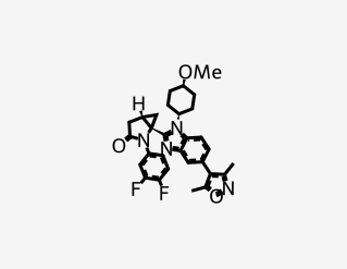 CO[C@H]1CC[C@H](n2c([C@]34C[C@H]3CC(=O)N4c3ccc(F)c(F)c3)nc3cc(-c4c(C)noc4C)ccc32)CC1